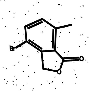 Cc1ccc(Br)c2c1C(=O)OC2